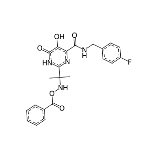 CC(C)(NOC(=O)c1ccccc1)c1nc(C(=O)NCc2ccc(F)cc2)c(O)c(=O)[nH]1